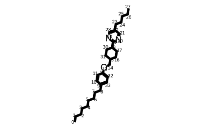 CCCCCCCCCc1ccc(OCC2CCC(c3ncc(CCCCC)cn3)CC2)cc1